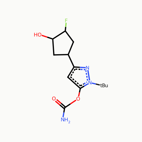 CC(C)(C)n1nc(C2CC(O)C(F)C2)cc1OC(N)=O